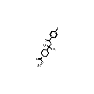 CC(C)(C)OC(=O)N1CCC(C(C)(C)OC(=O)c2ccc(I)cc2)CC1